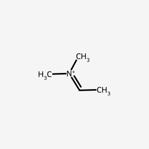 CC=[N+](C)C